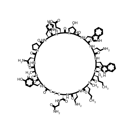 CCCC[C@H]1C(=O)N(C)[C@@H](CCCC)C(=O)N[C@@H](CCN)C(=O)N[C@H](C(=O)NCC(N)=O)CSCC(=O)N[C@@H](Cc2ccc(O)cc2)C(=O)N(C)C(C)C(=O)N[C@@H](CC(N)=O)C(=O)N2CCCC2C(=O)N[C@@H](Cc2cnc[nH]2)C(=O)N[C@@H](CCC(=O)O)C(=O)N2C[C@H](O)C[C@H]2C(=O)N[C@@H](Cc2c[nH]c3ccccc23)C(=O)N[C@@H](CCN)C(=O)N[C@@H](Cc2c[nH]c3ccccc23)C(=O)N1C